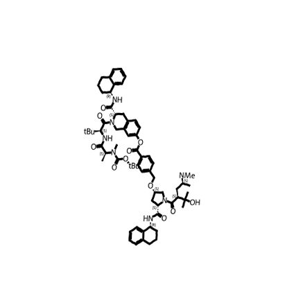 CN[C@@H](C)C[C@H](C(=O)N1C[C@@H](OCc2ccc(C(=O)Oc3ccc4c(c3)CN(C(=O)[C@@H](NC(=O)[C@H](C)N(C)C(=O)OC(C)(C)C)C(C)(C)C)[C@H](C(=O)N[C@@H]3CCCc5ccccc53)C4)cc2)C[C@H]1C(=O)N[C@@H]1CCCc2ccccc21)C(C)(C)O